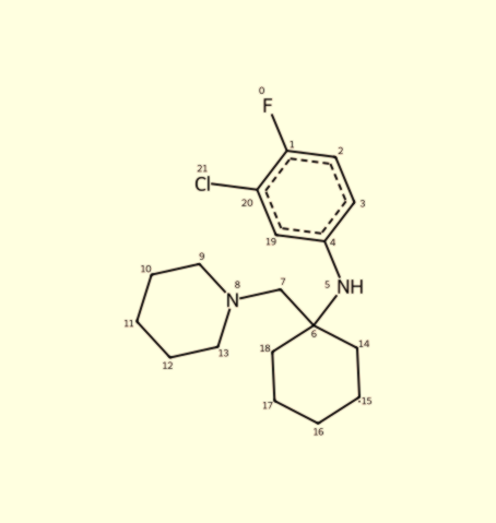 Fc1ccc(NC2(CN3CCCCC3)C[CH]CCC2)cc1Cl